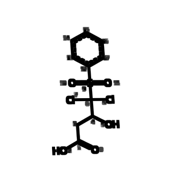 O=C(O)CC(O)C(Cl)(Cl)S(=O)(=O)c1ccccc1